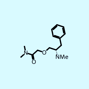 CN[C@H](COCC(=O)N(C)C)Cc1ccccc1